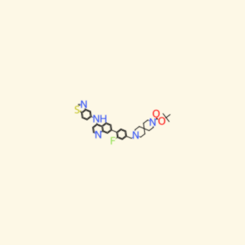 CC(C)(C)OC(=O)N1CCC2(CCN(Cc3ccc(-c4ccc5c(Nc6ccc7scnc7c6)ccnc5c4)c(F)c3)CC2)CC1